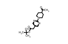 CC(=O)C1CCN(c2ncc(CC(=O)OC(C)(C)C)cn2)CC1